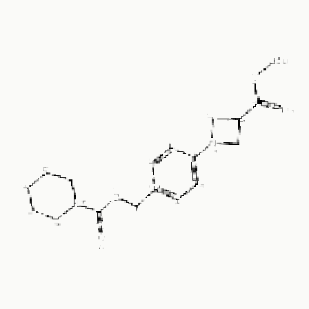 CC(C)(C)OC(=O)C1CN(c2ccc(COC(=O)N3CCCCC3)cc2)C1